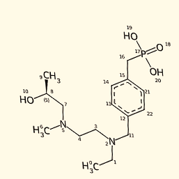 CCN(CCN(C)C[C@H](C)O)Cc1ccc(CP(=O)(O)O)cc1